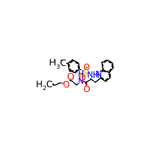 C=CCOC(=O)CNC(=O)C(Cc1ccc2ccccc2n1)NS(=O)(=O)c1ccc(C)cc1